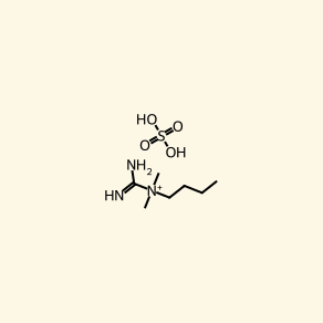 CCCC[N+](C)(C)C(=N)N.O=S(=O)(O)O